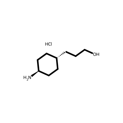 Cl.N[C@H]1CC[C@H](CCCO)CC1